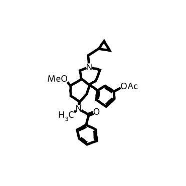 COC1CC(N(C)C(=O)c2ccccc2)CC2(c3cccc(OC(C)=O)c3)CCN(CC3CC3)CC12